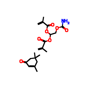 C=C(C)C(=O)OC(COC(N)=O)OC(=O)C(=C)C.CC1=CC(=O)CC(C)(C)C1